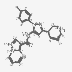 Cc1ccc(-n2nc(C3CCCNC3)cc2NC(=O)c2cnn3cccnc23)cc1